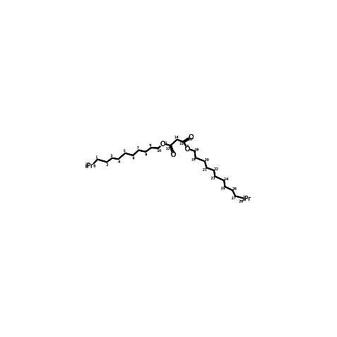 CC(C)CCCCCCCCCCOC(=O)CC(=O)OCCCCCCCCCCC(C)C